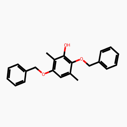 Cc1cc(OCc2ccccc2)c(C)c(O)c1OCc1ccccc1